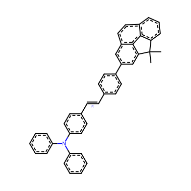 CC1(C)c2cccc3ccc4cc(-c5ccc(/C=C/c6ccc(N(c7ccccc7)c7ccccc7)cc6)cc5)cc1c4c23